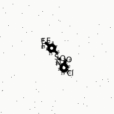 O=c1oc(SCc2ccc(C(F)(F)F)cc2)nc2ccc(Cl)cc12